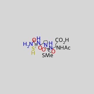 CSCC[C@H](NC(=O)C(CCC(=O)O)NC(C)=O)C(=O)N1CCCC1C(=O)N[C@H](CS)C(N)=O